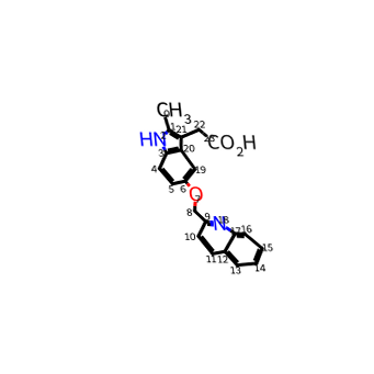 Cc1[nH]c2ccc(OCc3ccc4ccccc4n3)cc2c1CC(=O)O